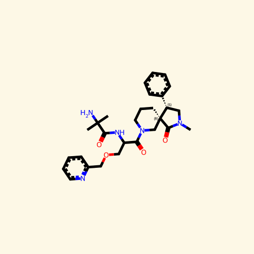 CN1C[C@@H](c2ccccc2)[C@@]2(CCCN(C(=O)C(COCc3ccccn3)NC(=O)C(C)(C)N)C2)C1=O